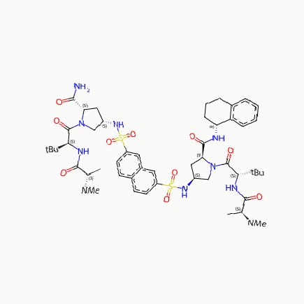 CN[C@@H](C)C(=O)N[C@H](C(=O)N1C[C@@H](NS(=O)(=O)c2ccc3ccc(S(=O)(=O)N[C@H]4C[C@@H](C(=O)N[C@@H]5CCCc6ccccc65)N(C(=O)[C@@H](NC(=O)[C@H](C)NC)C(C)(C)C)C4)cc3c2)C[C@H]1C(N)=O)C(C)(C)C